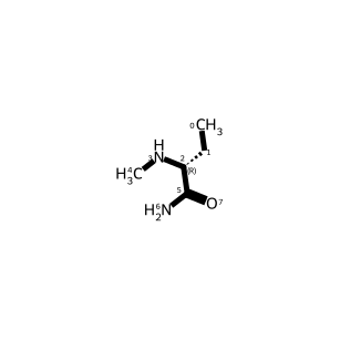 CC[C@@H](NC)C(N)=O